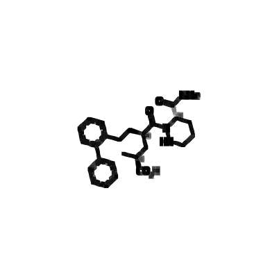 CNC(=O)[C@@H]1CCCNN1C(=O)[C@H](CCc1ccccc1-c1ccccc1)C[C@H](C)C(=O)O